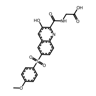 COc1ccc(S(=O)(=O)c2ccc3nc(C(=O)NCC(=O)O)c(O)cc3c2)cc1